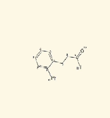 CC(C)c1ccccc1CCC(=O)I